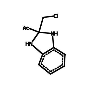 CC(=O)C1(CCl)Nc2ccccc2N1